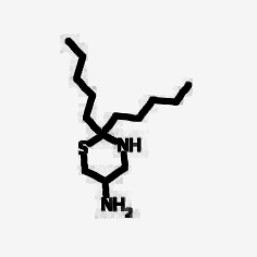 CCCCCC1(CCCCC)NCC(N)CS1